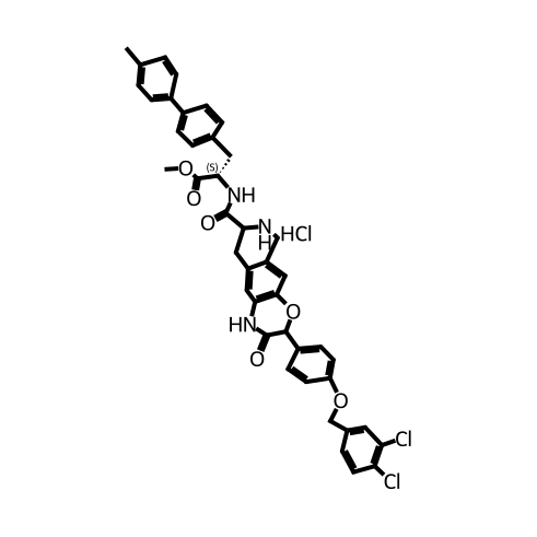 COC(=O)[C@H](Cc1ccc(-c2ccc(C)cc2)cc1)NC(=O)C1Cc2cc3c(cc2CN1)OC(c1ccc(OCc2ccc(Cl)c(Cl)c2)cc1)C(=O)N3.Cl